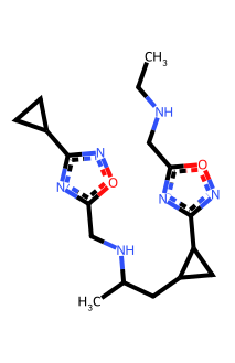 CCNCc1nc(C2CC2CC(C)NCc2nc(C3CC3)no2)no1